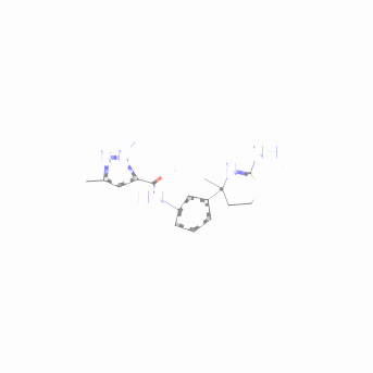 Cc1cc(C(=O)Nc2cccc(C3(C)CCSC(N)=N3)c2)n(C)n1